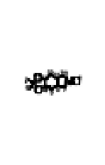 CC1(C)OC2=CC3CN(Cl)CC3CC2O1